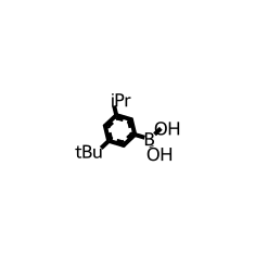 CC(C)c1cc(B(O)O)cc(C(C)(C)C)c1